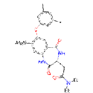 CCN(CC)C(=O)CC1NC(=O)c2cc(Oc3cc(C)cc(C)c3)c(NC)cc2NC1=O